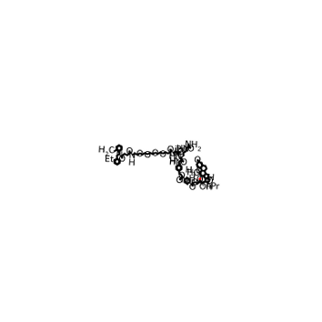 C=Cc1ccccc1N(Cc1ccccc1CC)C(=O)CCC(=O)NCCOCCOCCOCCOCCC(=O)N[C@H](C(=O)N[C@@H](CCCNC(N)=O)C(=O)Nc1ccc(COC(=O)N2CCN(C(=O)OCC(=O)[C@@H](O)C3C(CCC)O[C@@H]4CC5C6CCC7=CC(=O)C=C[C@]7(C)C6[C@@H](O)C[C@]5(C)C34)CC2)cc1)C(C)C